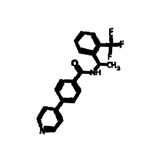 CC(NC(=O)c1ccc(-c2ccncc2)cc1)c1ccccc1C(F)(F)F